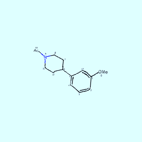 COc1cccc(C2CCN(C(C)=O)CC2)c1